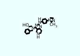 Cc1nccn1-c1ccc(Nc2nc3c(c(N(CCO)Cc4ccccc4)n2)CNCC3)cc1